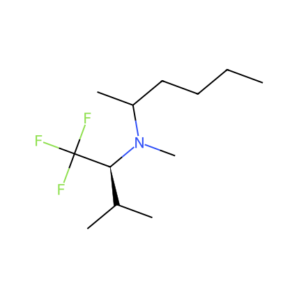 CCCCC(C)N(C)[C@@H](C(C)C)C(F)(F)F